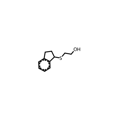 OCCSC1CCc2ccccc21